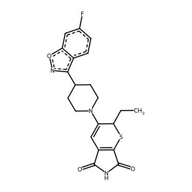 CCC1SC2=C(C=C1N1CCC(c3noc4cc(F)ccc34)CC1)C(=O)NC2=O